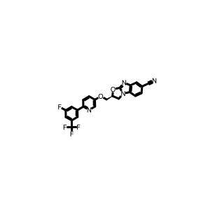 N#Cc1ccc2c(c1)nc1n2C[C@@H](COc2ccc(-c3cc(F)cc(C(F)(F)F)c3)nc2)O1